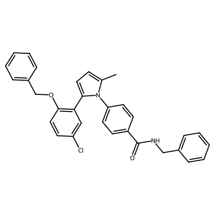 Cc1ccc(-c2cc(Cl)ccc2OCc2ccccc2)n1-c1ccc(C(=O)NCc2ccccc2)cc1